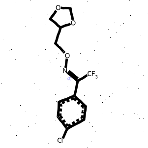 FC(F)(F)/C(=N\OCC1COCO1)c1ccc(Cl)cc1